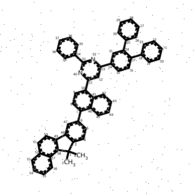 CC1(C)c2ccc(-c3ccc(-c4cc(-c5ccc(-c6ccccc6)c(-c6ccccc6)c5)nc(-c5ccccc5)n4)c4ccccc34)cc2-c2ccc3ccccc3c21